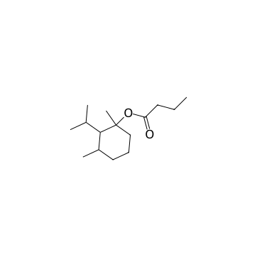 CCCC(=O)OC1(C)CCCC(C)C1C(C)C